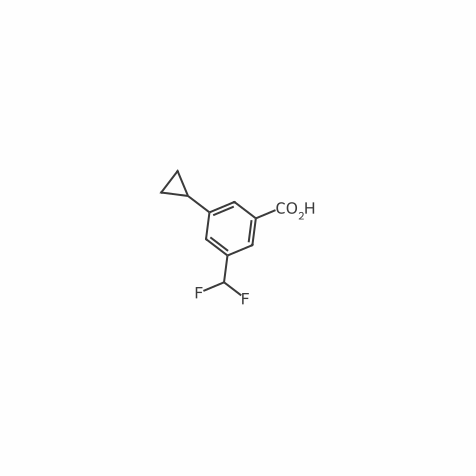 O=C(O)c1cc(C(F)F)cc(C2CC2)c1